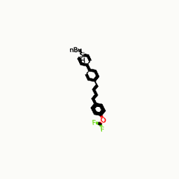 CCCC[Si@H]1CC[C@H]([C@H]2CC[C@H](CCCCc3ccc(OC(F)F)cc3)CC2)CC1